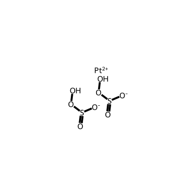 O=S([O-])OO.O=S([O-])OO.[Pt+2]